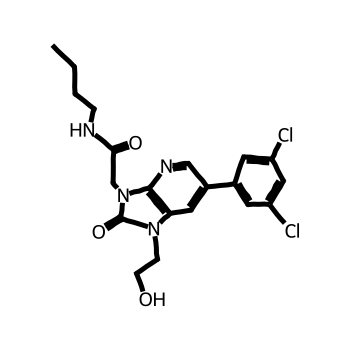 CCCCNC(=O)Cn1c(=O)n(CCO)c2cc(-c3cc(Cl)cc(Cl)c3)cnc21